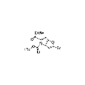 COC(=O)c1cc2oc(Br)cc2n1C(=O)OC(C)(C)C